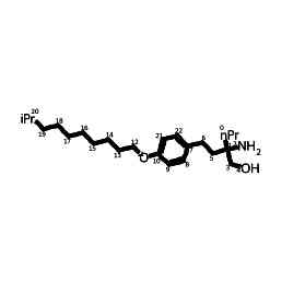 CCCC(N)(CO)CCc1ccc(OCCCCCCCCC(C)C)cc1